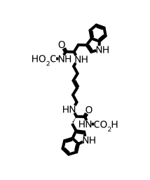 O=C(O)NC(=O)C(Cc1c[nH]c2ccccc12)NCCC=CCCN[C@@H](Cc1c[nH]c2ccccc12)C(=O)NC(=O)O